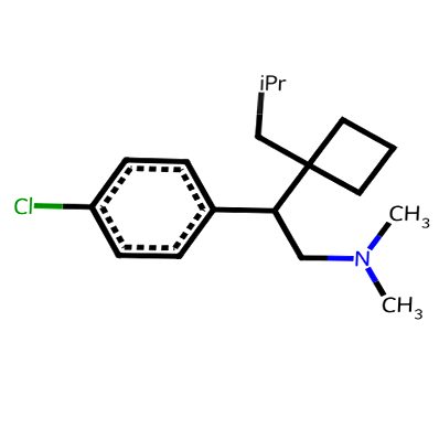 CC(C)CC1(C(CN(C)C)c2ccc(Cl)cc2)CCC1